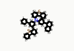 c1ccc(-c2cc(-c3cccc4c3sc3ccccc34)cc(N(c3ccc(-c4cccc5ccccc45)cc3)c3cccc4sc5ccccc5c34)c2)cc1